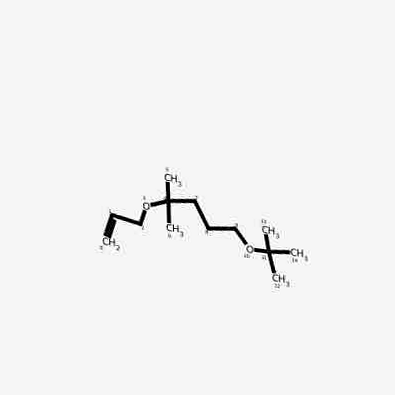 C=CCOC(C)(C)CCCOC(C)(C)C